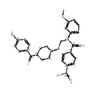 CSc1cccc(N(CCN2CCC(C(=O)c3ccc(F)cc3)CC2)C(=O)c2ccc([N+](=O)[O-])cc2)c1